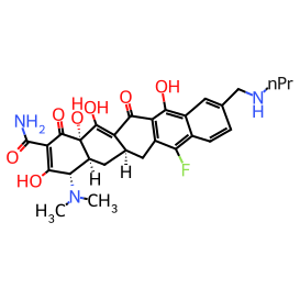 CCCNCc1ccc2c(F)c3c(c(O)c2c1)C(=O)C1=C(O)[C@]2(O)C(=O)C(C(N)=O)=C(O)[C@@H](N(C)C)[C@@H]2C[C@@H]1C3